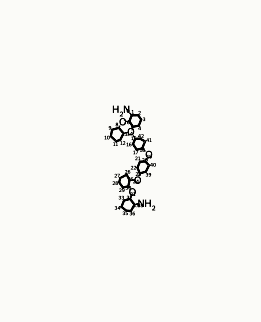 Nc1ccccc1Oc1ccccc1Oc1ccc(Oc2ccc(Oc3ccccc3Oc3ccccc3N)cc2)cc1